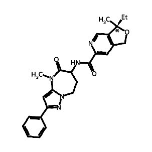 CC[C@@]1(C)OCc2cc(C(=O)NC3CCn4nc(-c5ccccc5)cc4N(C)C3=O)ncc21